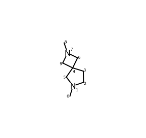 CN1CCC2(C1)CN(C)C2